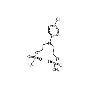 Cc1c[c]c(N(CCOS(C)(=O)=O)CCOS(C)(=O)=O)cc1